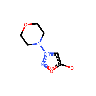 [O-]c1c[n+](N2CCOCC2)no1